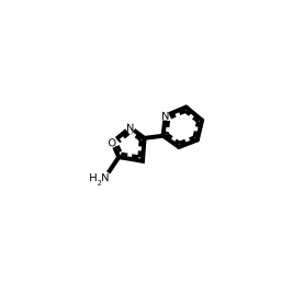 Nc1cc(-c2ccccn2)no1